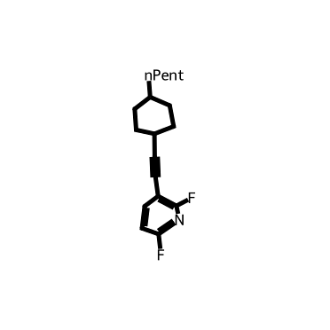 CCCCCC1CCC(C#Cc2ccc(F)nc2F)CC1